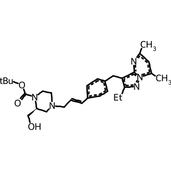 CCc1nn2c(C)cc(C)nc2c1Cc1ccc(C=CCN2CCN(C(=O)OC(C)(C)C)[C@H](CO)C2)cc1